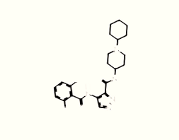 O=C(NC1CCN(C2CCCCC2)CC1)c1n[nH]cc1NC(=O)c1c(F)cccc1F